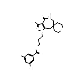 CCc1nn(CCCOC(=O)c2cc(F)cc(Cl)c2)c2c1C(=O)NCC1(CCOCC1)C2